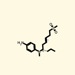 CCC[C@@H](C/C=C/CCS(C)(=O)=O)N(C)c1ccc(N)cc1